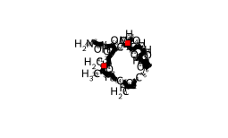 C=C1CC2CC[C@@]34CC5O[C@H]6C(O3)[C@H]3O[C@H](CCC3O[C@H]6C5O4)CC(=O)CC3C(C[C@H]4O[C@@H](CC[C@@H]1O2)CC(C)C4=C)O[C@H](CC(O)CN)[C@@H]3OC